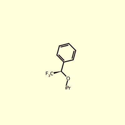 CC(C)O[C@H](c1ccccc1)C(F)(F)F